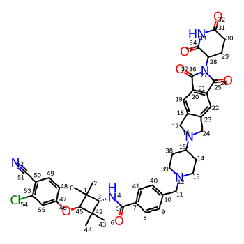 CC1(C)[C@H](NC(=O)c2ccc(CN3CCC(N4Cc5cc6c(cc5C4)C(=O)N(C4CCC(=O)NC4=O)C6=O)CC3)cc2)C(C)(C)[C@H]1Oc1ccc(C#N)c(Cl)c1